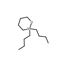 CCC[CH2][Sn]1([CH2]CCC)[CH2]CCC[O]1